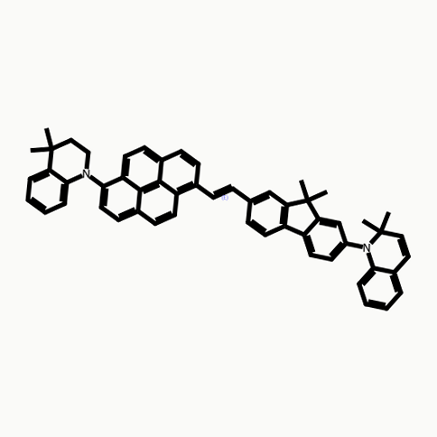 CC1(C)CCN(c2ccc3ccc4c(/C=C/c5ccc6c(c5)C(C)(C)c5cc(N7c8ccccc8C=CC7(C)C)ccc5-6)ccc5ccc2c3c54)c2ccccc21